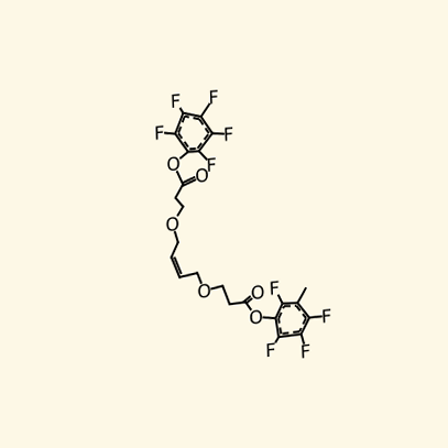 Cc1c(F)c(F)c(F)c(OC(=O)CCOC/C=C\COCCC(=O)Oc2c(F)c(F)c(F)c(F)c2F)c1F